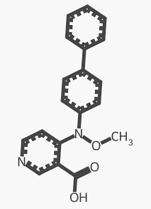 CON(c1ccc(-c2ccccc2)cc1)c1ccncc1C(=O)O